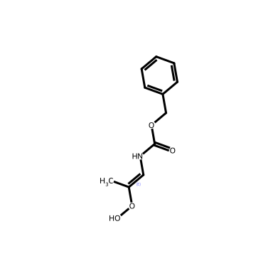 C/C(=C\NC(=O)OCc1ccccc1)OO